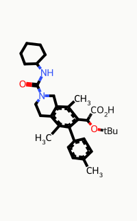 Cc1ccc(-c2c(C)c3c(c(C)c2C(OC(C)(C)C)C(=O)O)CN(C(=O)NC2CCCCC2)CC3)cc1